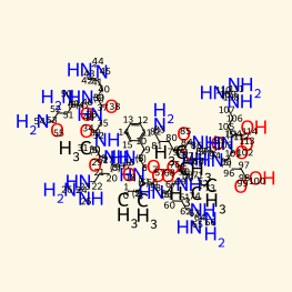 CC[C@H](C)[C@H](NC(=O)[C@H](Cc1ccccc1)NC(=O)[C@H](CCCNC(=N)N)NC(=O)[C@H](C)NC(=O)CNC(=O)[C@H](Cc1c[nH]cn1)NC(=O)[C@@H](N)CCC(N)=O)C(=O)N[C@@H](CCCNC(=N)N)C(=O)N[C@@H](CC(C)C)C(=O)N[C@@H](CCCCN)C(=O)N[C@@H](CC(C)C)C(=O)N[C@@H](CCC(=O)O)C(=O)N[C@@H](CCCNC(=N)N)C(=O)O